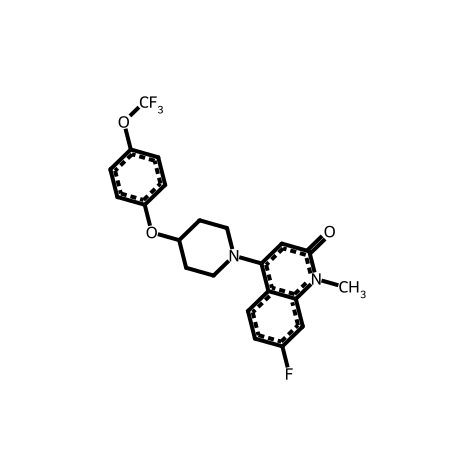 Cn1c(=O)cc(N2CCC(Oc3ccc(OC(F)(F)F)cc3)CC2)c2ccc(F)cc21